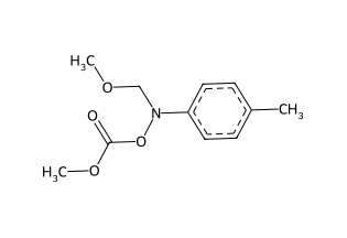 COCN(OC(=O)OC)c1ccc(C)cc1